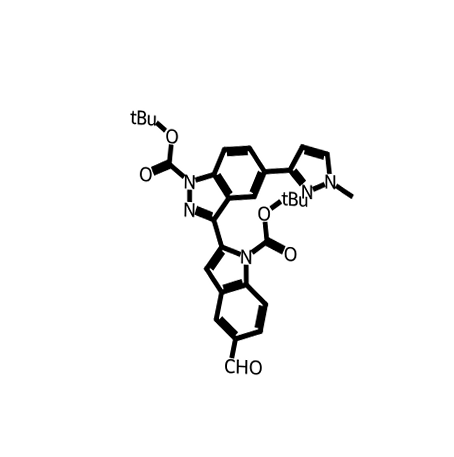 Cn1ccc(-c2ccc3c(c2)c(-c2cc4cc(C=O)ccc4n2C(=O)OC(C)(C)C)nn3C(=O)OC(C)(C)C)n1